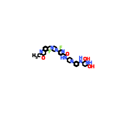 CC1=Nc2ccc(CN3CCN(c4ccc(C(=O)NC5CCN(c6cccc(NC7CCC(O)NC7O)c6)CC5)nc4F)CC3)c(F)c2CC1=O